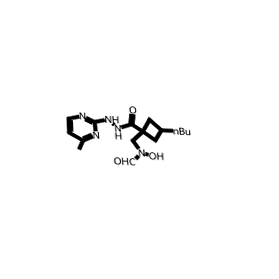 CCCCC1CC(CN(O)C=O)(C(=O)NNc2nccc(C)n2)C1